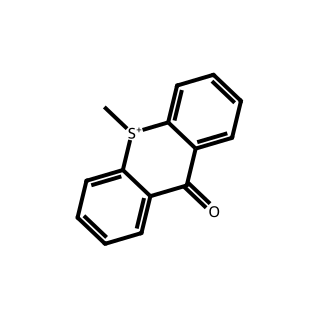 C[s+]1c2ccccc2c(=O)c2ccccc21